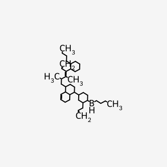 C=CCC1CC(C2CCC(CC(C)/C(C)=C(\C=C)C3CCCCC3CCCC)C3C=CCCC32)CCC1BCCCC